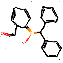 O=CC1C=CC=CC1=[P+]([O-])C(c1ccccc1)c1ccccc1